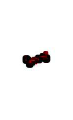 c1ccc(-c2ccc(N(c3ccc(-c4ccc5c(c4)oc4cc(-c6ccc(-c7ccc(N(c8ccc(-c9ccc%10c(c9)oc9ccccc9%10)cc8)c8cccc9oc%10ccccc%10c89)cc7-c7ccccc7)cc6)ccc45)cc3)c3cccc4oc5ccccc5c34)c(-c3ccccc3)c2)cc1